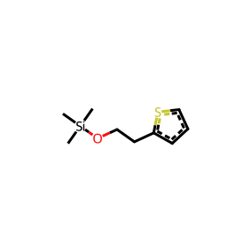 C[Si](C)(C)OCCc1cccs1